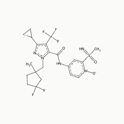 CC1(Cn2nc(C3CC3)c(C(F)(F)F)c2C(=O)Nc2cc[n+]([O-])c(S(C)(=N)=O)c2)CCC(F)(F)C1